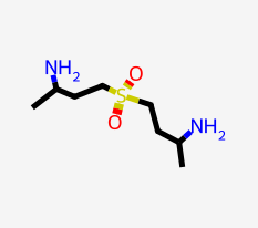 CC(N)CCS(=O)(=O)CCC(C)N